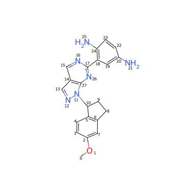 COc1ccc2c(c1)CCC2n1ncc2cnc(-c3cc(N)ccc3N)nc21